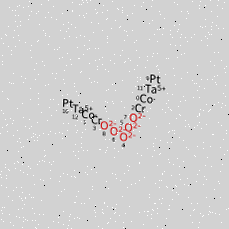 [Co].[Co].[Cr].[Cr].[O-2].[O-2].[O-2].[O-2].[O-2].[Pt].[Pt].[Ta+5].[Ta+5]